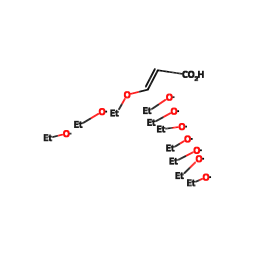 [CH2]COC=CC(=O)O.[CH2]C[O].[CH2]C[O].[CH2]C[O].[CH2]C[O].[CH2]C[O].[CH2]C[O].[CH2]C[O].[CH2]C[O].[CH2]C[O]